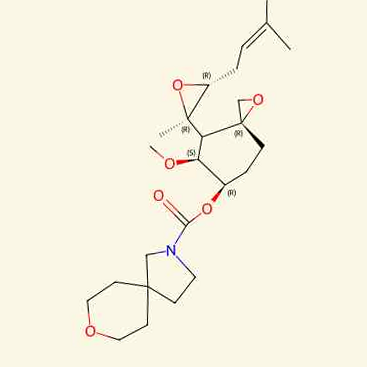 CO[C@H]1C([C@@]2(C)O[C@@H]2CC=C(C)C)[C@]2(CC[C@H]1OC(=O)N1CCC3(CCOCC3)C1)CO2